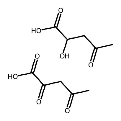 CC(=O)CC(=O)C(=O)O.CC(=O)CC(O)C(=O)O